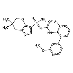 COc1cc(-c2cccc(C)c2NC(=O)N=S(N)(=O)c2cnn3c2OCC(C)(C)C3)ccn1